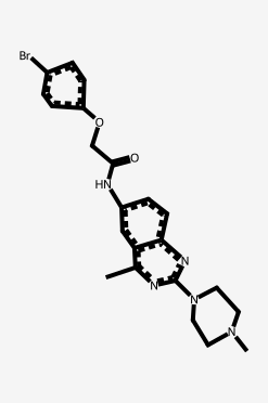 Cc1nc(N2CCN(C)CC2)nc2ccc(NC(=O)COc3ccc(Br)cc3)cc12